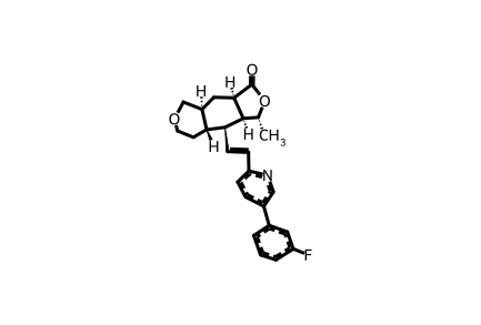 C[C@H]1OC(=O)[C@@H]2C[C@@H]3COCC[C@H]3[C@H](/C=C/c3ccc(-c4cccc(F)c4)cn3)[C@H]12